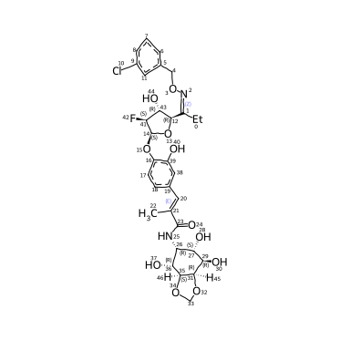 CC/C(=N/OCc1cccc(Cl)c1)[C@H]1O[C@@H](Oc2ccc(/C=C(\C)C(=O)N[C@@H]3[C@H](O)[C@@H](O)[C@H]4OCO[C@H]4[C@@H]3O)cc2O)[C@@H](F)[C@@H]1O